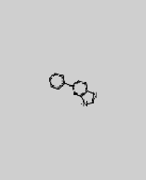 C1=Nc2ccc(-c3ccccc3)cc2[N]1